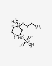 CCCC[N+]1(C)CCOCC1.O=S(=O)(O)O